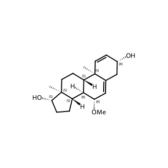 CO[C@H]1C=C2C[C@@H](O)C=C[C@]2(C)[C@H]2CC[C@]3(C)[C@@H](O)CC[C@H]3[C@H]12